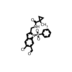 CC1(C(=O)NCc2cc3cc(Cl)c(C=O)cc3n2S(=O)(=O)c2ccccc2)CC1